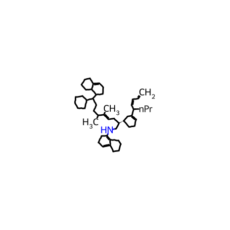 C=C/C=C\C(CCC)C1=CCC[C@H](C(C/C=C(\C)C(C)CCC(C2CCCCC2)C2CCC=C3CCCCC32)CNC2=C3CCCCC3=CCC2)C1